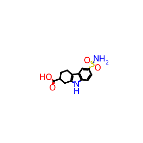 NS(=O)(=O)c1ccc2[nH]c3c(c2c1)CCC(C(=O)O)C3